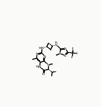 Cc1nc(N[C@H]2C[C@@H](Nc3nc(C(F)(F)F)nn3C)C2)nc2c1NC(=O)[C@H](C(C)C)N2C